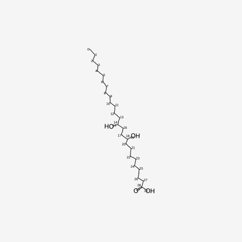 CCCCCCCCCCCCCCC(O)CCC(O)CCCCCCCCC(=O)O